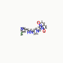 O=c1ccc2ccc(=O)n3c2n1CC3CN1CCC(NCC=Cc2cncc(F)c2)CC1